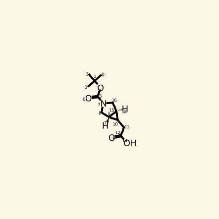 CC(C)(C)OC(=O)N1C[C@H]2C(CC(=O)O)[C@@H]2C1